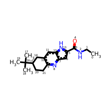 CCNC(=O)c1cc2nc3c(cc2[nH]1)CC(C(C)(C)C)CC3